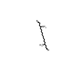 N#CCCC(N)CCCCCCCCCCC(N)CCC#N